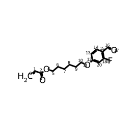 C=CC(=O)OCCCCCCOc1ccc(C=O)c(F)c1